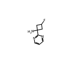 NC1(c2ncccn2)CC(F)C1